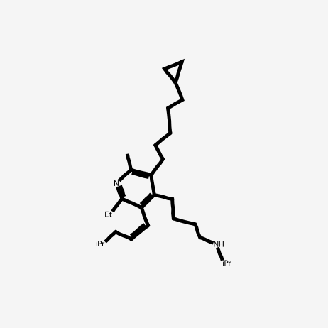 CCc1nc(C)c(CCCCCC2CC2)c(CCCCNC(C)C)c1/C=C\CC(C)C